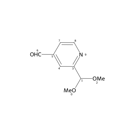 COC(OC)c1cc(C=O)ccn1